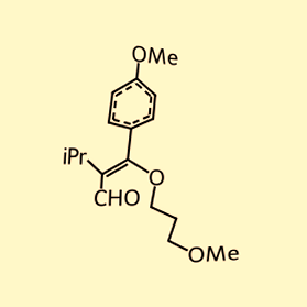 COCCCOC(=C(C=O)C(C)C)c1ccc(OC)cc1